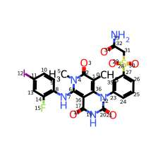 Cc1c(=O)n(C)c(Nc2ccc(I)cc2F)c2c(=O)[nH]c(=O)n(-c3cccc(S(=O)(=O)CC(N)=O)c3)c12